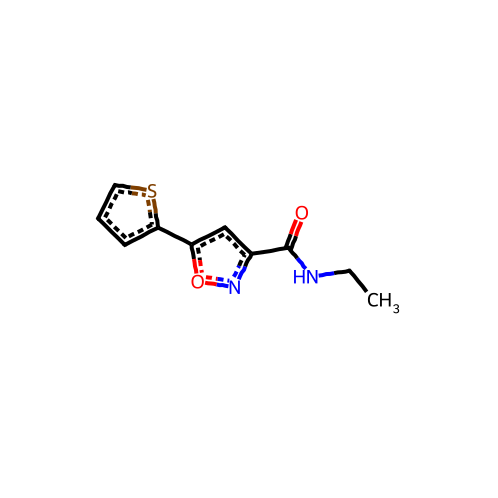 CCNC(=O)c1cc(-c2cccs2)on1